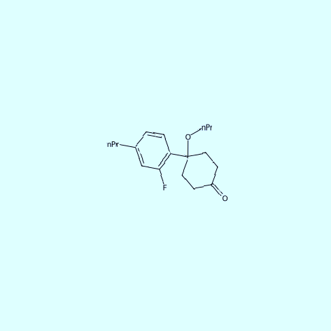 CCCOC1(c2ccc(CCC)cc2F)CCC(=O)CC1